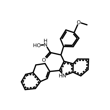 COC1=C=C=C(C(C(=O)NO)c2c(C3=Cc4ccccc4CC3)[nH]c3ccccc23)C=C1